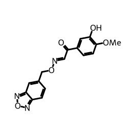 COc1ccc(C(=O)C=NOCc2ccc3nonc3c2)cc1O